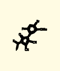 COc1cc(-n2c(C#N)c(C#N)n(C(F)F)c2=O)c(F)cc1Br